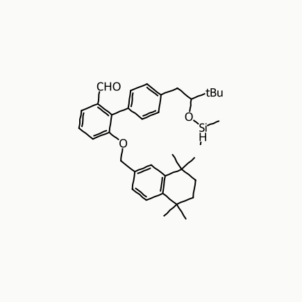 C[SiH](C)OC(Cc1ccc(-c2c(C=O)cccc2OCc2ccc3c(c2)C(C)(C)CCC3(C)C)cc1)C(C)(C)C